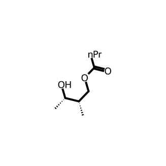 CCCC(=O)OC[C@H](C)[C@H](C)O